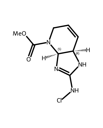 COC(=O)N1CC=C[C@H]2NC(NCl)=N[C@H]21